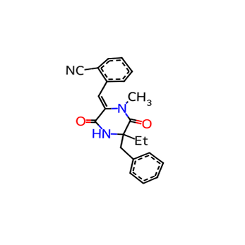 CCC1(Cc2ccccc2)NC(=O)C(=Cc2ccccc2C#N)N(C)C1=O